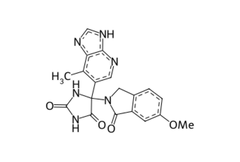 COc1ccc2c(c1)C(=O)N(C1(c3cnc4[nH]cnc4c3C)NC(=O)NC1=O)C2